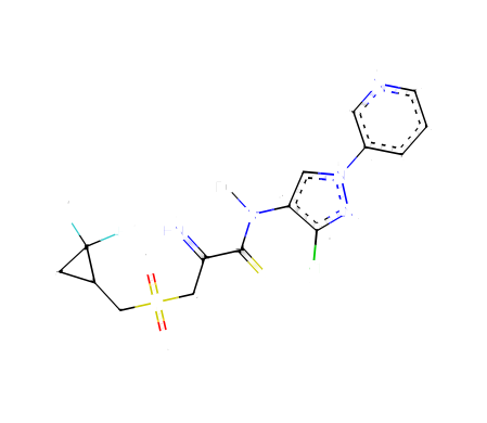 CCN(C(=S)C(=N)CS(=O)(=O)CC1CC1(F)F)c1cn(-c2cccnc2)nc1Cl